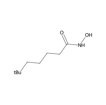 CC(C)(C)CCCCC(=O)NO